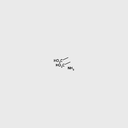 CC(=O)O.CC(=O)O.N